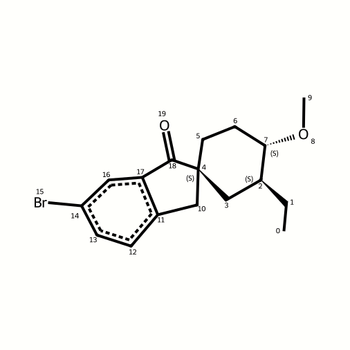 CC[C@H]1C[C@@]2(CC[C@@H]1OC)Cc1ccc(Br)cc1C2=O